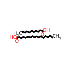 C=CCCCCCCCCC(=O)O.CCCCCCCCCCCCCCCCCC(=O)O